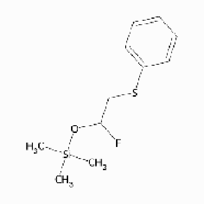 C[Si](C)(C)OC(F)CSc1ccccc1